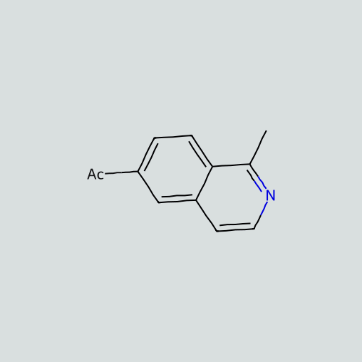 CC(=O)c1ccc2c(C)nccc2c1